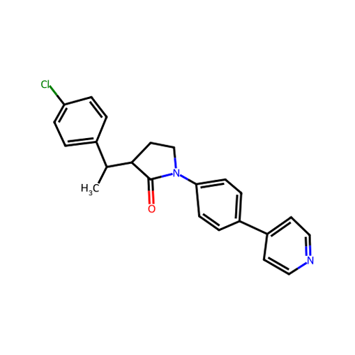 CC(c1ccc(Cl)cc1)C1CCN(c2ccc(-c3ccncc3)cc2)C1=O